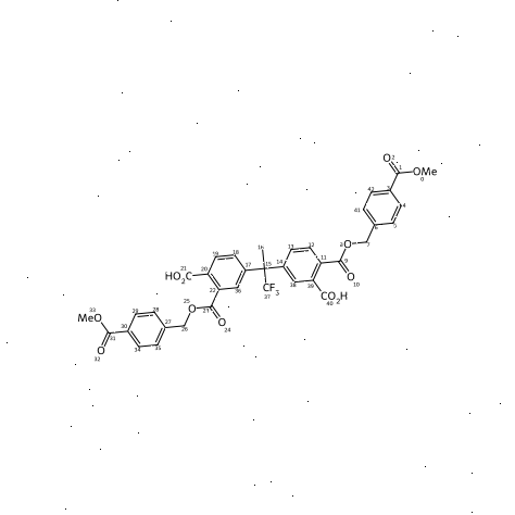 COC(=O)c1ccc(COC(=O)c2ccc(C(C)(c3ccc(C(=O)O)c(C(=O)OCc4ccc(C(=O)OC)cc4)c3)C(F)(F)F)cc2C(=O)O)cc1